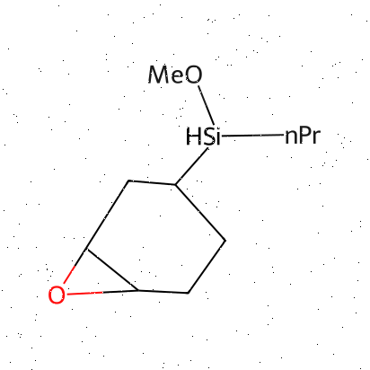 CCC[SiH](OC)C1CCC2OC2C1